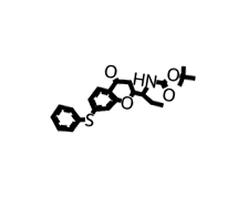 CCC(NC(=O)OC(C)(C)C)C1CC(=O)c2ccc(Sc3ccccc3)cc2O1